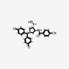 N#Cc1ccc(C(=O)N[C@H]2CN(C(c3ccc(Cl)cc3)c3ccc(Cl)cc3)C[C@@H]2CO)cc1